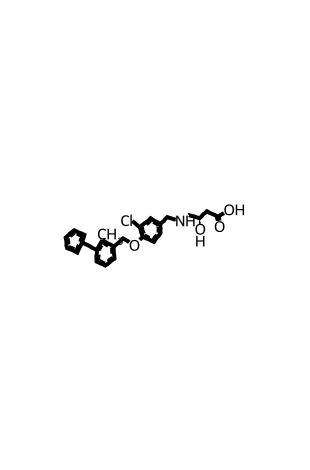 Cc1c(COc2ccc(CNC[C@@H](O)CC(=O)O)cc2Cl)cccc1-c1ccccc1